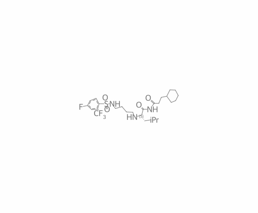 CC(C)C[C@H](NCCCCNS(=O)(=O)c1ccc(F)cc1C(F)(F)F)C(=O)NC(=O)CCC1CCCCC1